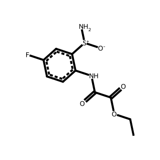 CCOC(=O)C(=O)Nc1ccc(F)cc1[S+](N)[O-]